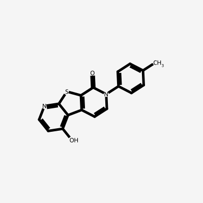 Cc1ccc(-n2ccc3c(sc4nccc(O)c43)c2=O)cc1